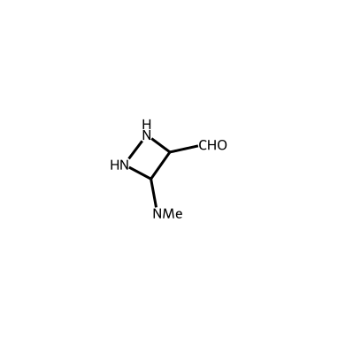 CNC1NNC1C=O